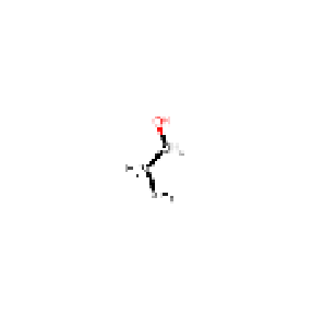 O[SiH2][SiH2][SiH3]